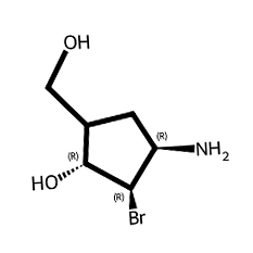 N[C@@H]1CC(CO)[C@@H](O)[C@@H]1Br